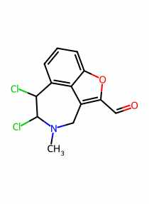 CN1Cc2c(C=O)oc3cccc(c23)C(Cl)C1Cl